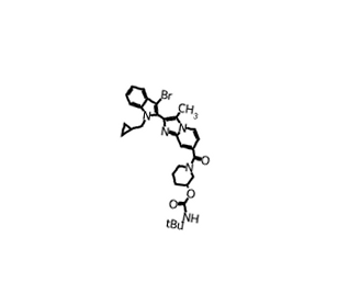 Cc1c(-c2c(Br)c3ccccc3n2CC2CC2)nc2cc(C(=O)N3CCC[C@@H](OC(=O)NC(C)(C)C)C3)ccn12